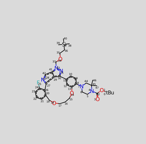 CC(C)(C)OC(=O)N1CCN(c2ccc3cc2OCCCOCc2cccc(F)c2-c2cc4c-3nn(COCC[Si](C)(C)C)c4cn2)CC1(C)C